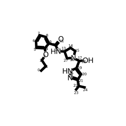 CCCOc1ccccc1C(=O)NC1CCN(C(O)c2cc(C(C)C)n[nH]2)C1